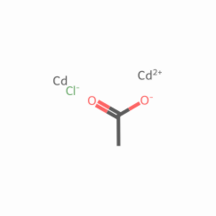 CC(=O)[O-].[Cd+2].[Cd].[Cl-]